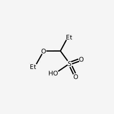 [CH2]COC(CC)S(=O)(=O)O